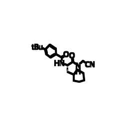 CC(C)(C)c1ccc(C(=O)N[C@@H](CC2CCCCC2)C(=O)NCC#N)cc1